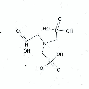 O=[PH](O)CN(CP(=O)(O)O)CP(=O)(O)O